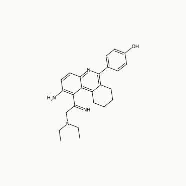 CCN(CC)CC(=N)c1c(N)ccc2nc(-c3ccc(O)cc3)c3c(c12)CCCC3